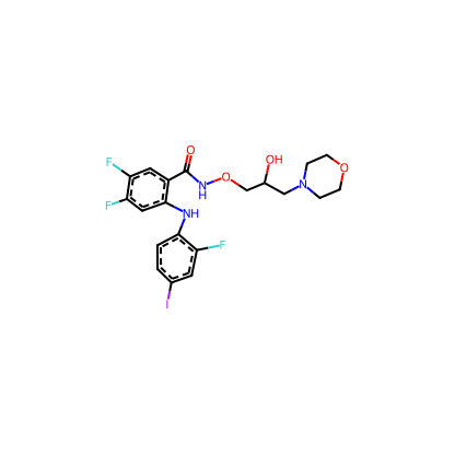 O=C(NOCC(O)CN1CCOCC1)c1cc(F)c(F)cc1Nc1ccc(I)cc1F